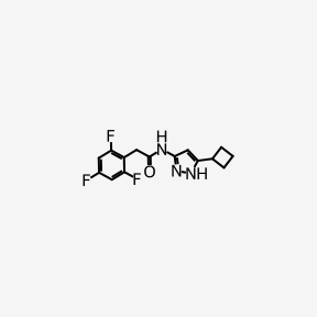 O=C(Cc1c(F)cc(F)cc1F)Nc1cc(C2CCC2)[nH]n1